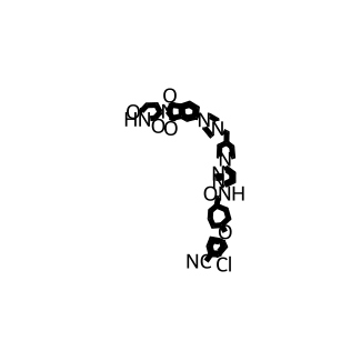 N#Cc1ccc(OC2CCCC(C(=O)Nc3ccc(N4CCC(CN5CCN(c6ccc7c(c6)C(=O)N(C6CCC(=O)NC6=O)C7=O)CC5)CC4)nn3)CC2)cc1Cl